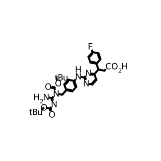 CC(C)(C)OC(=O)N=C(N)N(Cc1ccc(Nc2nccc(C(CC(=O)O)c3ccc(F)cc3)n2)cc1)C(=O)OC(C)(C)C